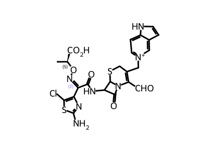 C[C@H](O/N=C(\C(=O)NC1C(=O)N2C(C=O)=C(C[n+]3ccc4[nH]ccc4c3)CSC12)c1nc(N)sc1Cl)C(=O)O